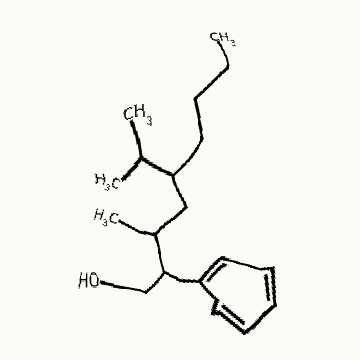 CCCCC(CC(C)C(CO)c1ccccc1)C(C)C